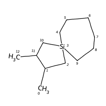 CC1C[Si]2(CCCCCC2)CC1C